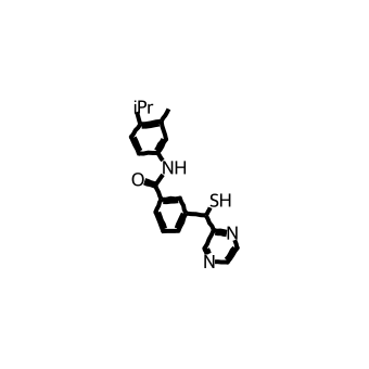 Cc1cc(NC(=O)c2cccc(C(S)c3cnccn3)c2)ccc1C(C)C